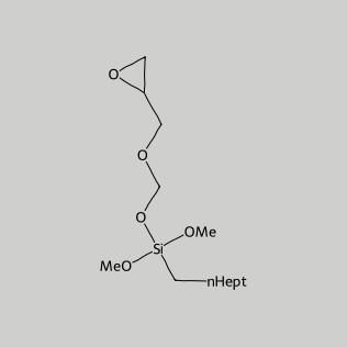 CCCCCCCC[Si](OC)(OC)OCOCC1CO1